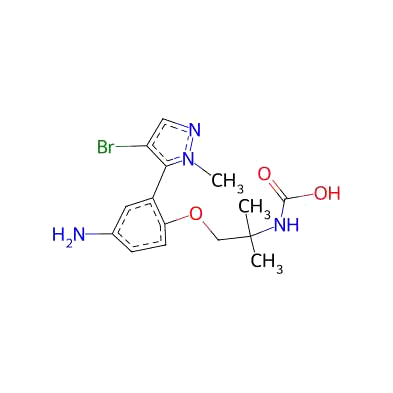 Cn1ncc(Br)c1-c1cc(N)ccc1OCC(C)(C)NC(=O)O